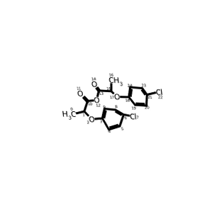 CC(Oc1ccc(Cl)cc1)C(=O)OC(=O)C(C)Oc1ccc(Cl)cc1